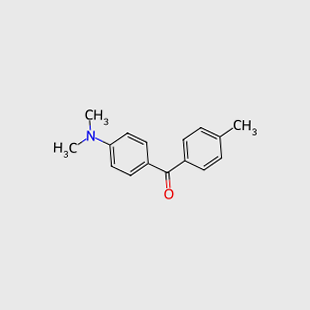 Cc1ccc(C(=O)c2ccc(N(C)C)cc2)cc1